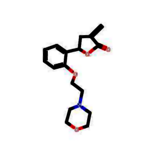 C=C1CC(c2ccccc2OCCN2CCOCC2)OC1=O